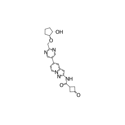 O=C1CC(C(=O)Nc2cc3cc(-c4cnc(CO[C@H]5CCC[C@@H]5O)nc4)ccn3n2)C1